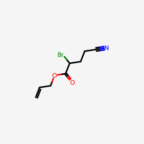 C=CCOC(=O)C(Br)CCC#N